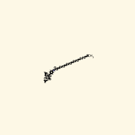 COCCOCCOCCOCCOCCOCCOCCOCCOCCOC(=O)/C=C/c1ccc(-c2nc3c(=O)n(CC4CC4)c(=O)n(CC4CC4)c3[nH]2)cc1